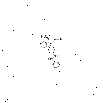 C=CCN(CC=C)[C@]1(c2ccccc2)CC[C@H](NC(=O)c2ccccc2)CC1